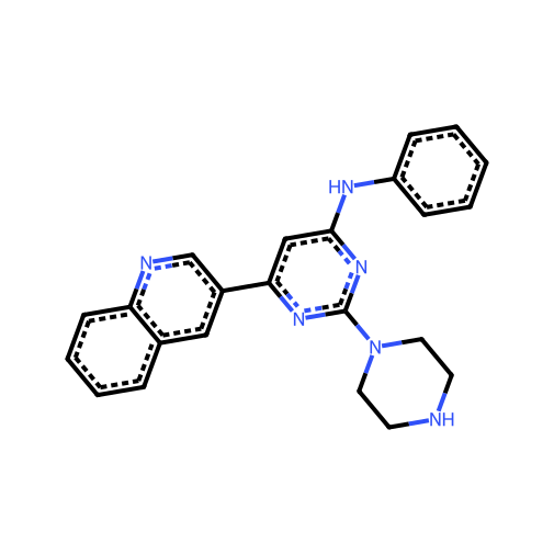 c1ccc(Nc2cc(-c3cnc4ccccc4c3)nc(N3CCNCC3)n2)cc1